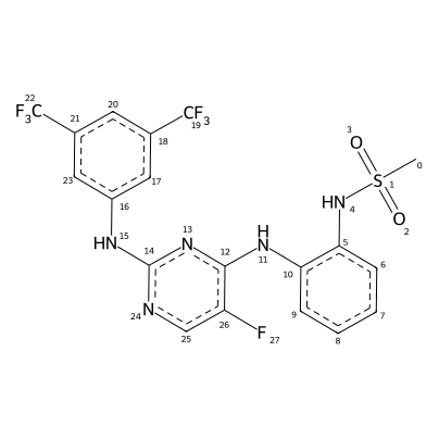 CS(=O)(=O)Nc1ccccc1Nc1nc(Nc2cc(C(F)(F)F)cc(C(F)(F)F)c2)ncc1F